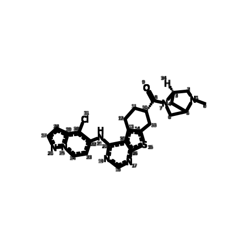 CN1C[C@H]2CC1CN2C(=O)[C@H]1CCc2c(sc3ncnc(Nc4ccn5nccc5c4Cl)c23)C1